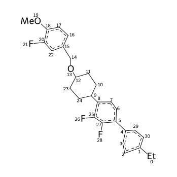 CCc1ccc(-c2ccc(C3CCC(OCc4ccc(OC)c(F)c4)CC3)c(F)c2F)cc1